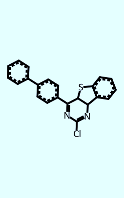 ClC1=NC2c3ccccc3SC2C(c2ccc(-c3ccccc3)cc2)=N1